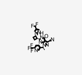 C[C@@H](c1ccc(C(F)(F)F)nc1)n1nc(C#N)c2c(=O)[nH]c([C@H]3CC[C@@H]3n3cc(C(F)F)cn3)nc21